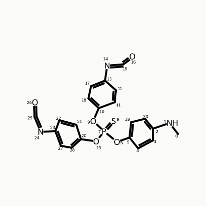 CNc1ccc(OP(=S)(Oc2ccc(N=C=O)cc2)Oc2ccc(N=C=O)cc2)cc1